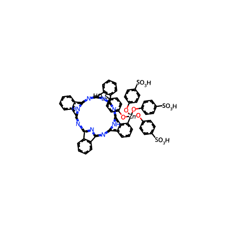 O=S(=O)(O)c1ccc([O][Zn]([O]c2ccc(S(=O)(=O)O)cc2)([O]c2ccc(S(=O)(=O)O)cc2)([O]c2ccc(S(=O)(=O)O)cc2)[c]2cccc3c4nc5nc(nc6[nH]c(nc7nc(nc([nH]4)c23)-c2ccccc2-7)c2ccccc62)-c2ccccc2-5)cc1